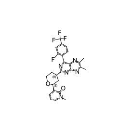 Cc1nc2nc([C@@H]3CCO[C@H](c4cccn(C)c4=O)C3)nc(-c3ccc(C(F)(F)F)cc3F)c2nc1C